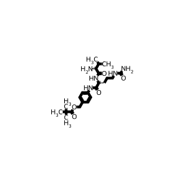 CC(C)[C@@H](N)C(=O)N[C@H](CCCNC(N)=O)C(=O)Nc1ccc(COC(=O)C(C)(C)C)cc1